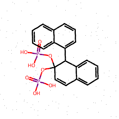 O=P(O)(O)OC1(OP(=O)(O)O)C=Cc2ccccc2C1c1cccc2ccccc12